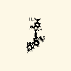 C=C(N)c1ccc(NCC#Cc2cc3c(NC4CCN(C)CC4F)cccc3n2CC(F)(F)F)c(CCC)c1